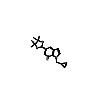 CC1(C)OB(C2=CNc3c(ccn3CC3CC3)C2)OC1(C)C